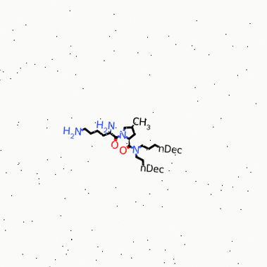 CCCCCCCCCCCCCN(CCCCCCCCCCCC)C(=O)[C@@H]1C[C@H](C)CN1C(=O)[C@H](N)CCCCN